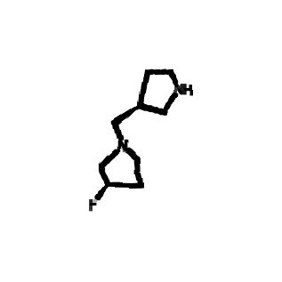 F[C@@H]1CCN(C[C@H]2CCNC2)C1